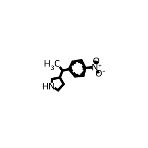 CC(c1ccc([N+](=O)[O-])cc1)C1CCNC1